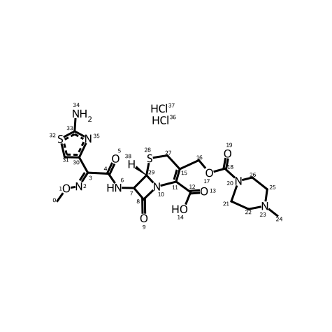 CON=C(C(=O)NC1C(=O)N2C(C(=O)O)=C(COC(=O)N3CCN(C)CC3)CS[C@@H]12)c1csc(N)n1.Cl.Cl